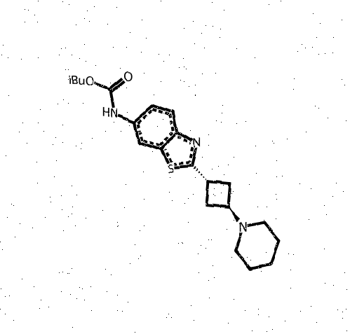 CC(C)COC(=O)Nc1ccc2nc([C@H]3C[C@H](N4CCCCC4)C3)sc2c1